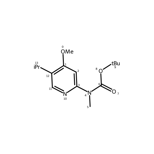 COc1cc(N(C)C(=O)OC(C)(C)C)ncc1C(C)C